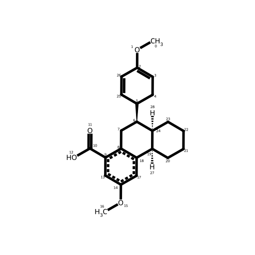 COC1=CCC([C@@H]2Cc3c(C(=O)O)cc(OC)cc3[C@@H]3CCCC[C@@H]32)C=C1